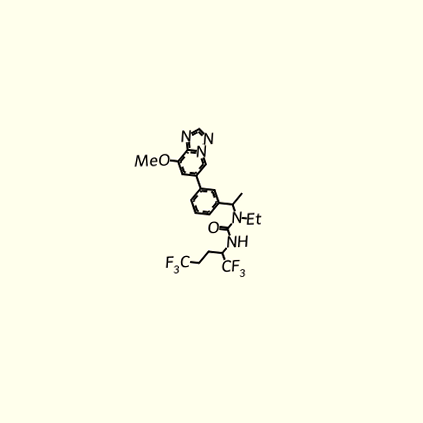 CCN(C(=O)NC(CCC(F)(F)F)C(F)(F)F)C(C)c1cccc(-c2cc(OC)c3ncnn3c2)c1